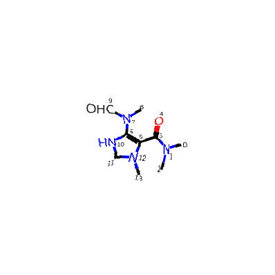 CN(C)C(=O)C1=C(N(C)C=O)NCN1C